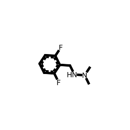 CN(C)NCc1c(F)cccc1F